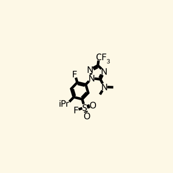 CC(C)c1cc(F)c(-n2nc(C(F)(F)F)nc2N(C)C)cc1S(=O)(=O)F